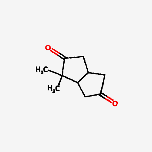 CC1(C)C(=O)CC2CC(=O)CC21